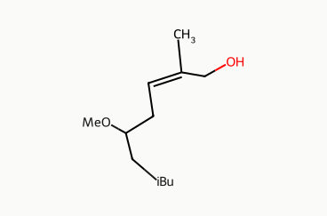 CCC(C)CC(CC=C(C)CO)OC